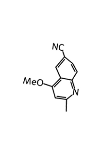 COc1cc(C)nc2ccc(C#N)cc12